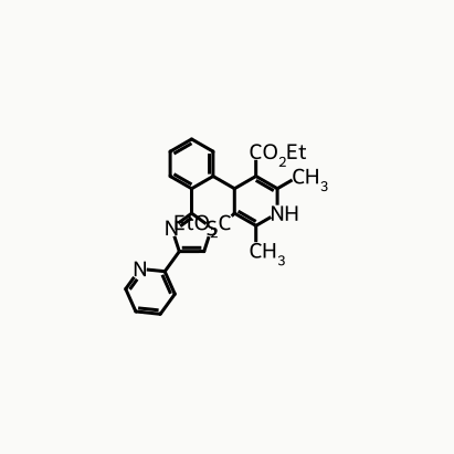 CCOC(=O)C1=C(C)NC(C)=C(C(=O)OCC)C1c1ccccc1-c1nc(-c2ccccn2)cs1